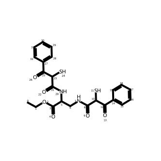 CCOC(=O)C(CNC(=O)C(S)C(=O)c1ccccc1)NC(=O)C(S)C(=O)c1ccccc1